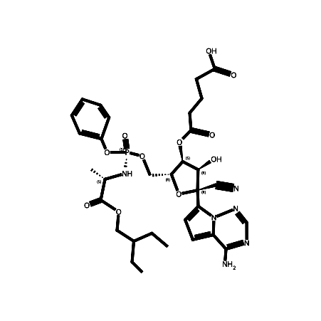 CCC(CC)COC(=O)[C@H](C)N[P@](=O)(OC[C@H]1O[C@@](C#N)(c2ccc3c(N)ncnn23)[C@H](O)[C@@H]1OC(=O)CCCC(=O)O)Oc1ccccc1